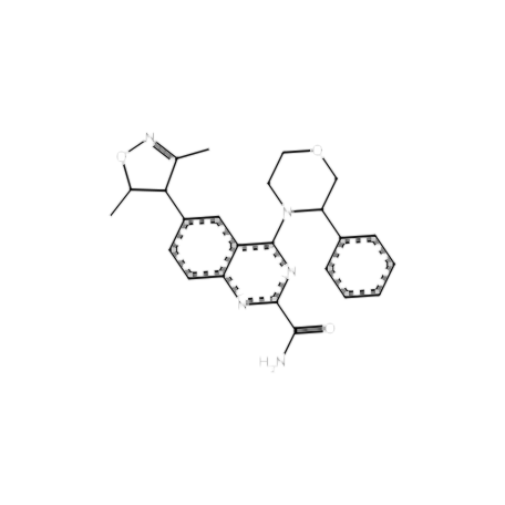 CC1=NOC(C)C1c1ccc2nc(C(N)=O)nc(N3CCOCC3c3ccccc3)c2c1